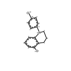 [O]c1cccc2c1CCCN2c1ccc(Cl)cc1